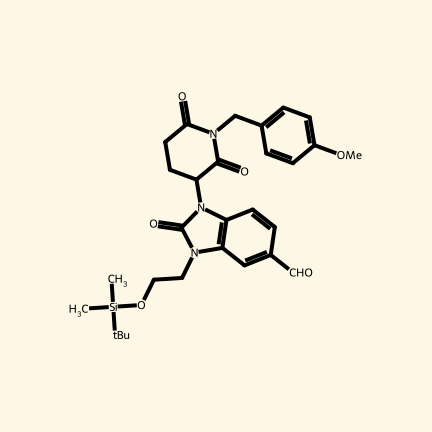 COc1ccc(CN2C(=O)CCC(n3c(=O)n(CCO[Si](C)(C)C(C)(C)C)c4cc(C=O)ccc43)C2=O)cc1